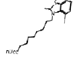 CCCCCCCCCCCCCCCCCCN1c2c(I)cccc2SC1C